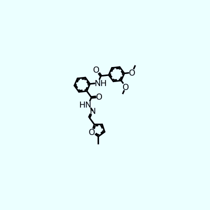 COc1ccc(C(=O)Nc2ccccc2C(=O)NN=Cc2ccc(C)o2)cc1OC